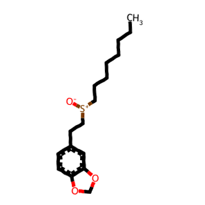 CCCCCCCC[S+]([O-])CCc1ccc2c(c1)OCO2